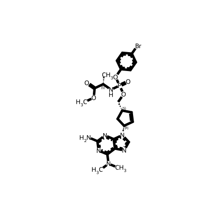 COC(=O)[C@H](C)NP(=O)(OC[C@@H]1C=C[C@H](n2cnc3c(N(C)C)nc(N)nc32)C1)Oc1ccc(Br)cc1